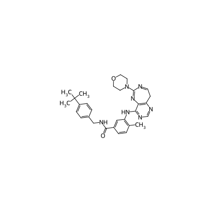 Cc1ccc(C(=O)NCc2ccc(C(C)(C)C)cc2)cc1Nc1ncnc2c1N=C(N1CCOCC1)N=CC2